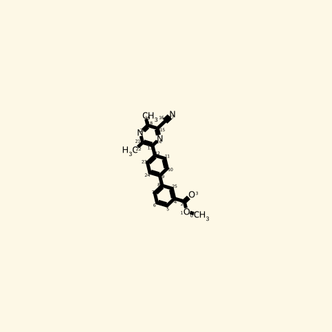 COC(=O)c1cccc(-c2ccc(-c3nc(C#N)c(C)nc3C)cc2)c1